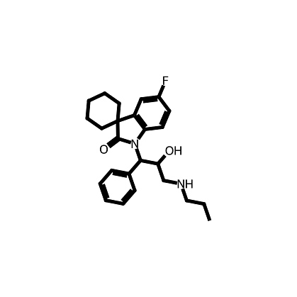 CCCNCC(O)C(c1ccccc1)N1C(=O)C2(CCCCC2)c2cc(F)ccc21